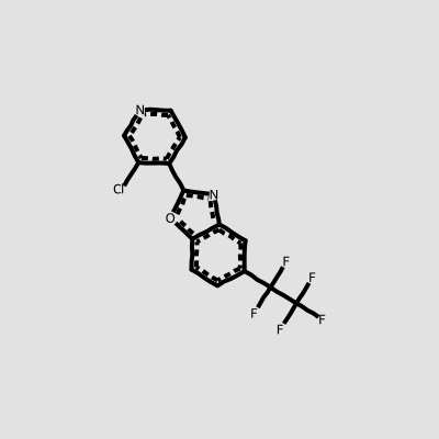 FC(F)(F)C(F)(F)c1ccc2oc(-c3ccncc3Cl)nc2c1